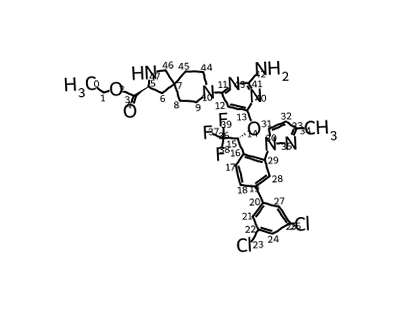 CCOC(=O)[C@@H]1CC2(CCN(c3cc(O[C@H](c4ccc(-c5cc(Cl)cc(Cl)c5)cc4-n4ccc(C)n4)C(F)(F)F)nc(N)n3)CC2)CN1